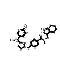 CN(Cc1n[nH]c2c1CCCC2)C(=O)c1ccc(C[C@@H]2CC[C@H]([C@H](O)c3ccc(Cl)nc3)N2)cc1